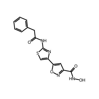 O=C(Cc1ccccc1)Nc1nc(-c2cc(C(=O)NO)no2)cs1